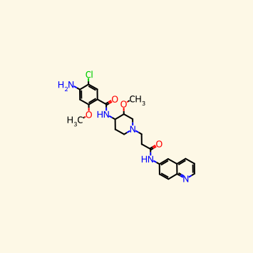 COc1cc(N)c(Cl)cc1C(=O)NC1CCN(CCC(=O)Nc2ccc3ncccc3c2)CC1OC